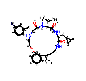 CC1CCNC(=O)[C@H](CC2CC2)NC(=O)[C@@H](C(C)C)NC(=O)[C@@H](Cc2cccc(I)c2)NCCOc2ccccc21